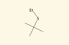 [CH2]C(C)(C)SCC